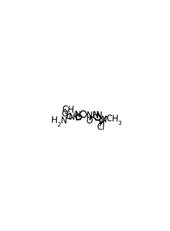 CCn1cc(Cl)c2cc(C(=O)NC3CCc4nc(N5CC(N)C(OC)C5)ccc4C3)nnc21